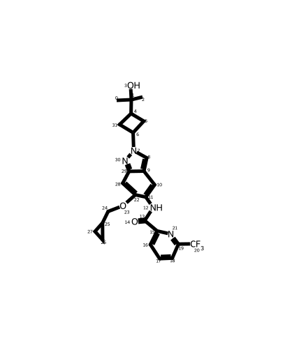 CC(C)(O)C1CC(n2cc3cc(NC(=O)c4cccc(C(F)(F)F)n4)c(OCC4CC4)cc3n2)C1